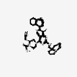 N#CC[C@H]1CN(c2nc(OCC34CCCN3CCC4)nc3c(F)c(-c4cccc5c4CCCC5)ncc23)CCN1C(=O)O